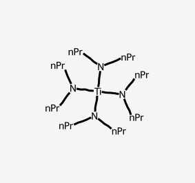 CCC[N](CCC)[Ti]([N](CCC)CCC)([N](CCC)CCC)[N](CCC)CCC